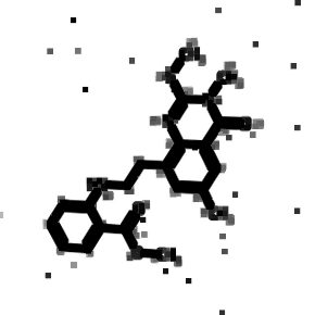 COC(=O)c1ccccc1NCCc1cc(C)cc2c(=O)n(C)c(SC)nc12